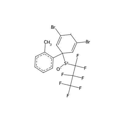 Cc1ccccc1C1([S+]([O-])C(F)(F)C(F)(F)C(F)(F)F)C=C(Br)[CH]C(Br)=C1